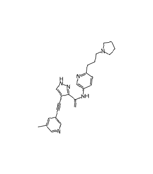 C=C(Nc1ccc(CCCN2CCCC2)nc1)c1n[nH]cc1C#Cc1cncc(C)c1